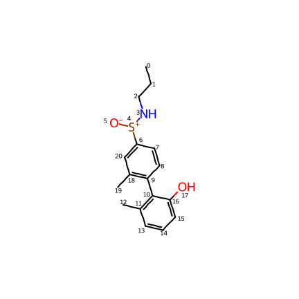 CCCN[S+]([O-])c1ccc(-c2c(C)cccc2O)c(C)c1